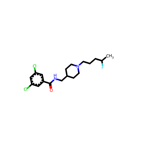 CC(F)CCCN1CCC(CNC(=O)c2cc(Cl)cc(Cl)c2)CC1